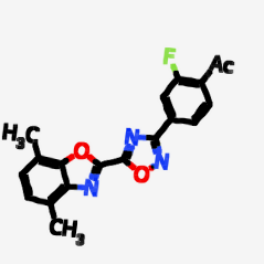 CC(=O)c1ccc(-c2noc(-c3nc4c(C)ccc(C)c4o3)n2)cc1F